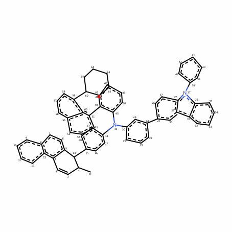 CC1C=Cc2c(ccc3ccccc23)C1c1ccc(N(c2cccc(-c3ccc4c(c3)c3ccccc3n4-c3ccccc3)c2)c2ccccc2-c2cccc3cccc(C4CCCCC4)c23)cc1